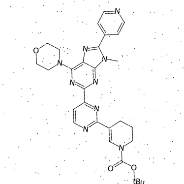 Cn1c(-c2ccncc2)nc2c(N3CCOCC3)nc(-c3ccnc(C4=CN(C(=O)OC(C)(C)C)CCC4)n3)nc21